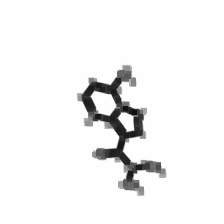 CN(C)C(=O)c1cnn2c(C(F)(F)F)ccnc12